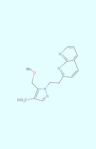 CCOC(=O)c1cnn(CCc2ccc3cccnc3n2)c1COC(C)(C)C